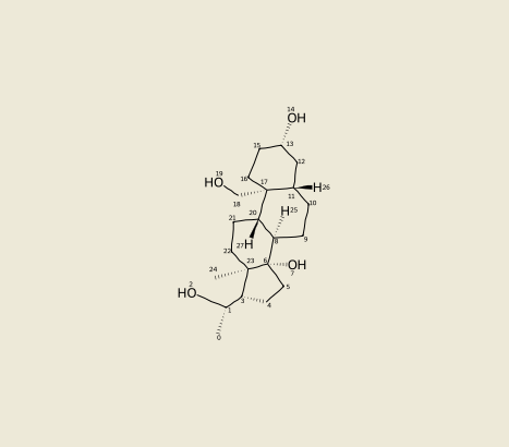 C[C@H](O)[C@H]1CC[C@]2(O)[C@@H]3CC[C@H]4C[C@@H](O)CC[C@]4(CO)[C@H]3CC[C@]12C